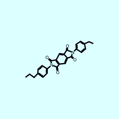 CCCc1ccc(-n2c(=O)c3cc4c(=O)n(-c5ccc(CC)cc5)c(=O)c4cc3c2=O)cc1